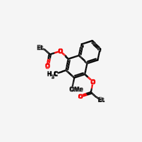 CCC(=O)Oc1c(C)c(OC)c(OC(=O)CC)c2ccccc12